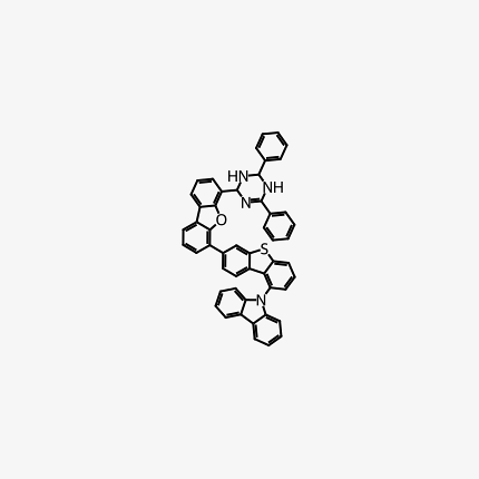 c1ccc(C2=NC(c3cccc4c3oc3c(-c5ccc6c(c5)sc5cccc(-n7c8ccccc8c8ccccc87)c56)cccc34)NC(c3ccccc3)N2)cc1